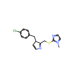 Cn1ccnc1SCC1=NC=CC1Cc1ccc(Cl)cc1